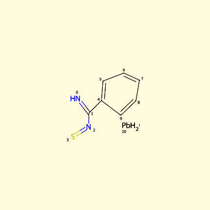 N=C(N=S)c1ccccc1.[PbH2]